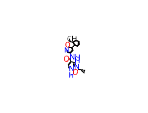 CC(=O)c1ccccc1-c1cncc(NC(=O)C2=CCNC(NC(=O)C3CC3)=C2)c1